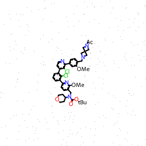 COc1cc(-c2nccc(-c3cccc(-c4ccc(CN(C(=O)OC(C)(C)C)C5CCOCC5)c(OC)n4)c3Cl)c2Cl)ccc1CN1CC2(C1)CN(C(C)=O)C2